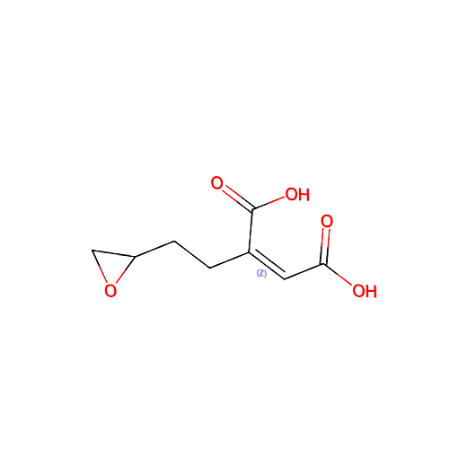 O=C(O)/C=C(/CCC1CO1)C(=O)O